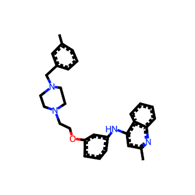 Cc1cccc(CN2CCN(CCOc3cccc(Nc4cc(C)nc5ccccc45)c3)CC2)c1